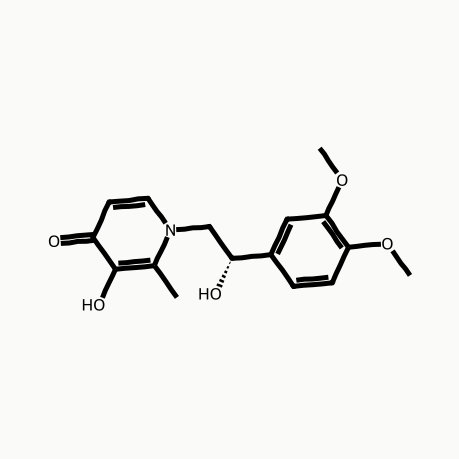 COc1ccc([C@H](O)Cn2ccc(=O)c(O)c2C)cc1OC